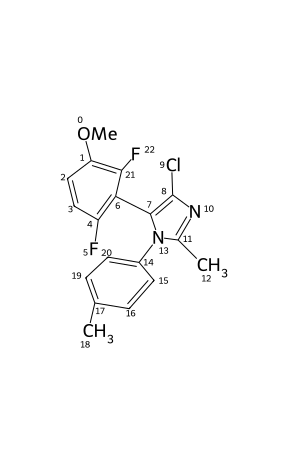 COc1ccc(F)c(-c2c(Cl)nc(C)n2-c2ccc(C)cc2)c1F